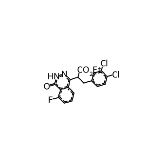 CCOC(=O)C(Cc1ccc(Cl)c(Cl)c1)c1n[nH]c(=O)c2c(F)cccc12